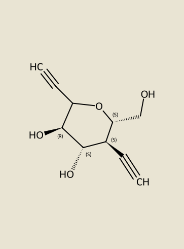 C#CC1O[C@H](CO)[C@@H](C#C)[C@H](O)[C@H]1O